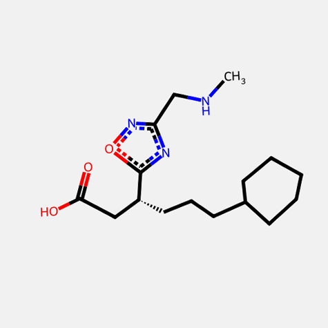 CNCc1noc([C@H](CCCC2CCCCC2)CC(=O)O)n1